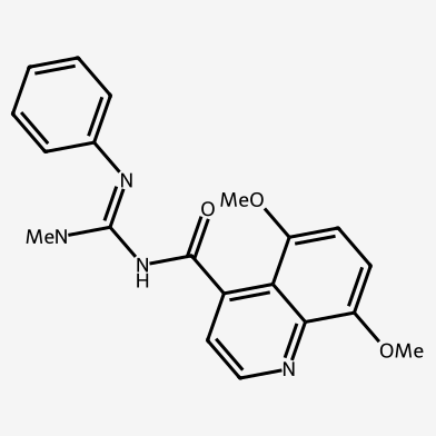 CNC(=Nc1ccccc1)NC(=O)c1ccnc2c(OC)ccc(OC)c12